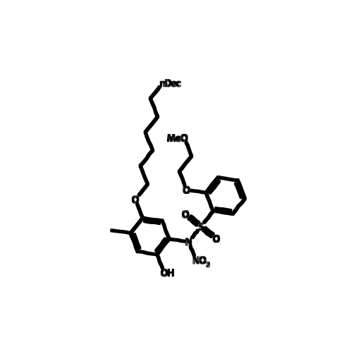 CCCCCCCCCCCCCCCCOc1cc(N([N+](=O)[O-])S(=O)(=O)c2ccccc2OCCOC)c(O)cc1C